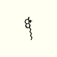 C=C1CCC2C=CC(CCCCCC)=CC2N1C